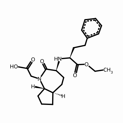 CCOC(=O)[C@H](CCc1ccccc1)N[C@H]1CC[C@H]2CCC[C@@H]2N(CC(=O)O)C1=O